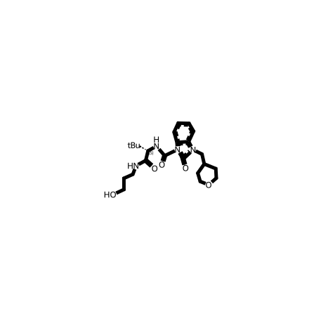 CC(C)(C)[C@H](NC(=O)n1c(=O)n(CC2CCOCC2)c2ccccc21)C(=O)NCCCO